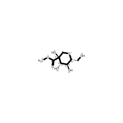 COC(=O)[C@]1(O)CO[C@H]([CH]O)[C@@H](O)[C@@H]1O